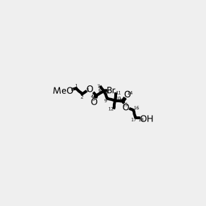 COCCOC(=O)C(C)(Br)CC(C)(C)C(=O)OCCO